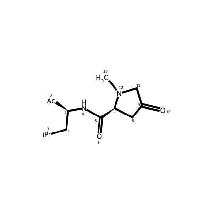 CC(=O)[C@H](CC(C)C)NC(=O)[C@@H]1CC(=O)CN1C